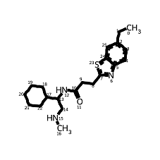 CCc1ccc2nc(CCC(=O)NC(CNC)C3CCCCC3)sc2c1